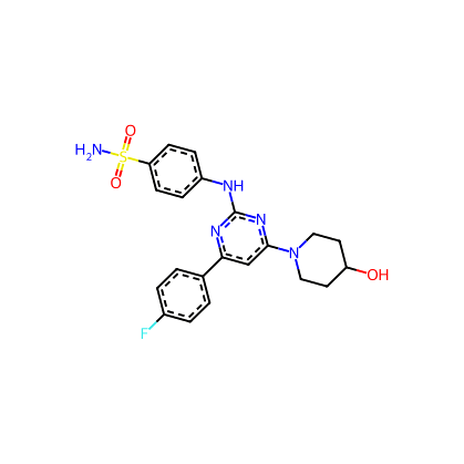 NS(=O)(=O)c1ccc(Nc2nc(-c3ccc(F)cc3)cc(N3CCC(O)CC3)n2)cc1